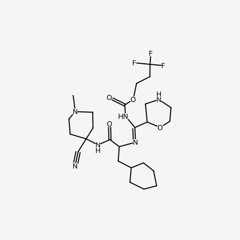 CN1CCC(C#N)(NC(=O)C(CC2CCCCC2)N=C(NC(=O)OCCC(F)(F)F)C2CNCCO2)CC1